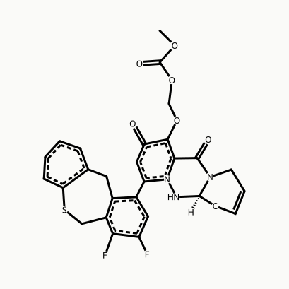 COC(=O)OCOc1c2n(c(-c3cc(F)c(F)c4c3Cc3ccccc3SC4)cc1=O)N[C@@H]1CC=CCN1C2=O